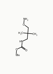 CC(C)(CNC(=O)OC(C)(C)C)CON